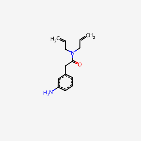 C=CCN(CC=C)C(=O)Cc1cccc(N)c1